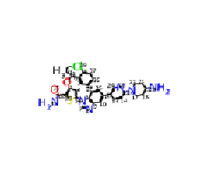 C[C@@H](Oc1cc(-n2cnc3cc(-c4ccc(N5CCC(N)CC5)nc4)ccc32)sc1C(N)=O)c1ccccc1Cl